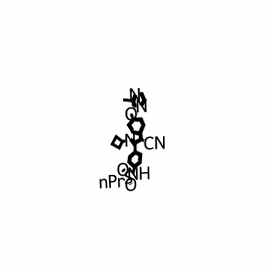 CCCS(=O)(=O)Nc1ccc(-c2c(C#N)c3ccc(Oc4nccnc4C)cc3n2C2CCC2)cc1